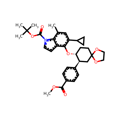 COC(=O)c1ccc([C@@H]2CC3(CC[C@H]2Oc2c(C4CC4)cc(C)c4c2ccn4C(=O)OC(C)(C)C)OCCO3)cc1